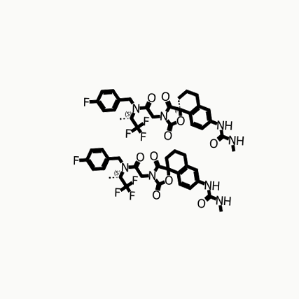 CNC(=O)Nc1ccc2c(c1)CCCC21OC(=O)N(CC(=O)N(Cc2ccc(F)cc2)[C@@H](C)C(F)(F)F)C1=O.CNC(=O)Nc1ccc2c(c1)CCC[C@@]21OC(=O)N(CC(=O)N(Cc2ccc(F)cc2)[C@@H](C)C(F)(F)F)C1=O